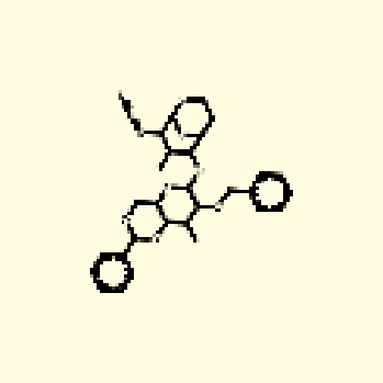 CC1C(N=[N+]=[N-])C2OCCC(O2)C1OC1OC2COC(c3ccccc3)OC2C(C)C1OCc1ccccc1